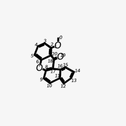 COc1cccc2oc3ccc4ccccc4c3c(=O)c12